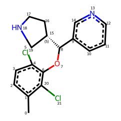 Cc1ccc(Cl)c(OC(c2cccnc2)[C@H]2CCNC2)c1Cl